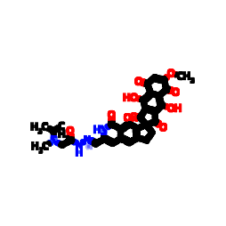 COC1=CC(=O)c2c(O)c3c(c(O)c2C1=O)C(=O)C1(CCc2cc4cc(/C=N/NC(=O)CN(C)C(C)C)[nH]c(=O)c4c(O)c21)C3=O